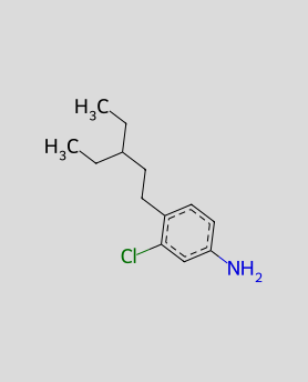 CCC(CC)CCc1ccc(N)cc1Cl